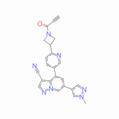 C#CC(=O)N1CC(c2ccc(-c3cc(-c4cnn(C)c4)cn4ncc(C#N)c34)cn2)C1